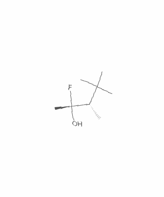 C[C@@H](C(C)(C)C)[C@](C)(O)F